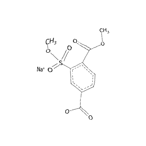 COC(=O)c1ccc(C(=O)[O-])cc1S(=O)(=O)OC.[Na+]